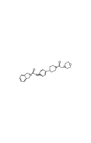 O=C(CN1CCOCC1)N1CCC(c2ccc(NC(=O)N3Cc4ccccc4C3)cc2)CC1